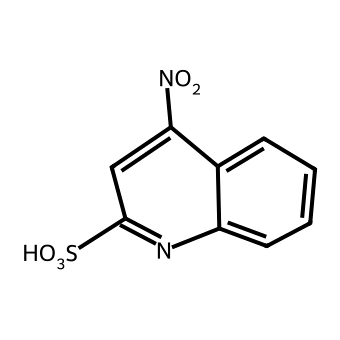 O=[N+]([O-])c1cc(S(=O)(=O)O)nc2ccccc12